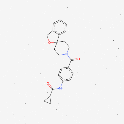 O=C(Nc1ccc(C(=O)N2CCC3(CC2)OCc2ccccc23)cc1)C1CC1